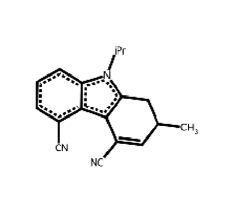 CC1C=C(C#N)c2c(n(C(C)C)c3cccc(C#N)c23)C1